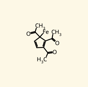 CC(=O)C1=C(C(C)=O)[C]([Fe])(C(C)=O)C=C1